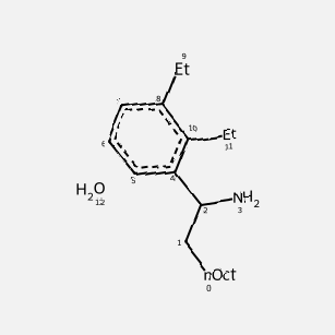 CCCCCCCCCC(N)c1cccc(CC)c1CC.O